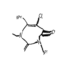 C=C1N(C)C(C(C)C)=C(Cl)C(=O)N1C(C)C